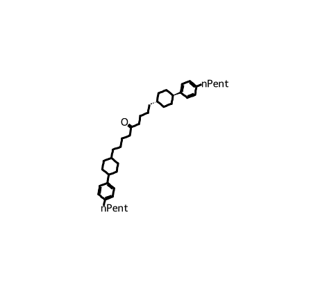 CCCCCc1ccc(C2CCC(CCCCC(=O)CCCC[C@H]3CC[C@H](c4ccc(CCCCC)cc4)CC3)CC2)cc1